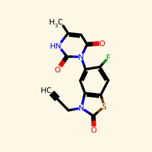 C#CCn1c(=O)sc2cc(F)c(-n3c(=O)cc(C)[nH]c3=O)cc21